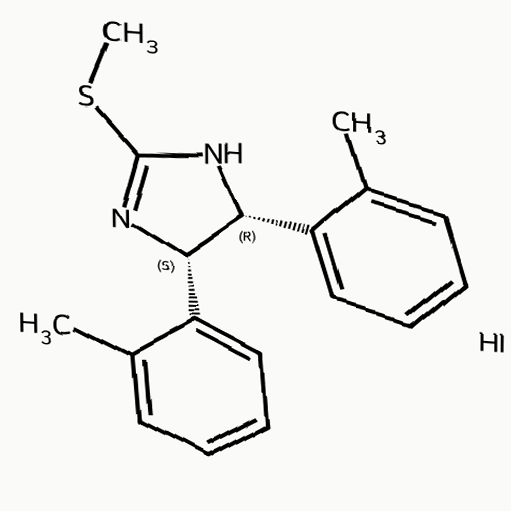 CSC1=N[C@@H](c2ccccc2C)[C@@H](c2ccccc2C)N1.I